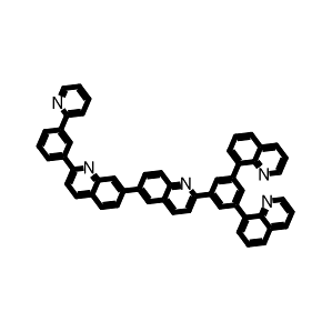 c1ccc(-c2cccc(-c3ccc4ccc(-c5ccc6nc(-c7cc(-c8cccc9cccnc89)cc(-c8cccc9cccnc89)c7)ccc6c5)cc4n3)c2)nc1